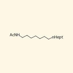 CCCCCCCCCCCCCCNC(C)=O